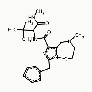 CNC(=O)C(NC(=O)c1nc(Cc2ccccc2)n2c1CN(C)CCC2)C(C)(C)C